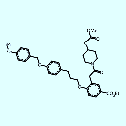 CCOC(=O)c1ccc(OCCCc2ccc(OCc3ccc(OC(C)C)cc3)cc2)c(CC(=O)N2CCC(OC(=O)OC)CC2)c1